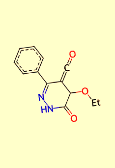 CCOC1C(=O)NN=C(c2ccccc2)C1=C=O